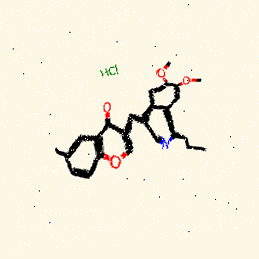 CCCc1ncc(Cc2coc3ccc(C)cc3c2=O)c2cc(OC)c(OC)cc12.Cl